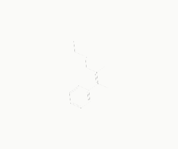 CC[SiH2]CC(C)=C(C)c1ccccc1